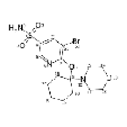 NS(=O)(=O)c1cnc(OC2(N3CCOCC3)CCCCC2)c(Br)c1